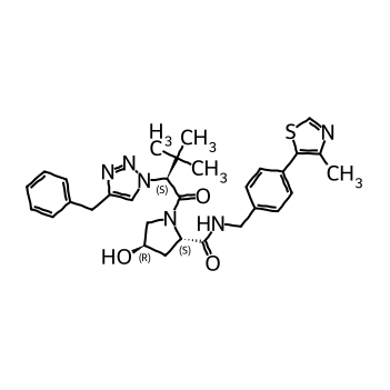 Cc1ncsc1-c1ccc(CNC(=O)[C@@H]2C[C@@H](O)CN2C(=O)[C@@H](n2cc(Cc3ccccc3)nn2)C(C)(C)C)cc1